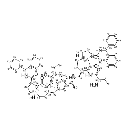 CC[C@H](N)C(=O)N[C@@H]1C(=O)N2[C@@H](CC[C@@H]1CNC(=O)c1cn(C[C@H]3CC[C@H]4CC[C@@H](C(=O)NC(c5ccccc5)c5ccccc5)N4C(=O)[C@H]3NC(=O)[C@@H](N)CC)nn1)CC[C@H]2C(=O)NC(c1ccccc1)c1ccccc1